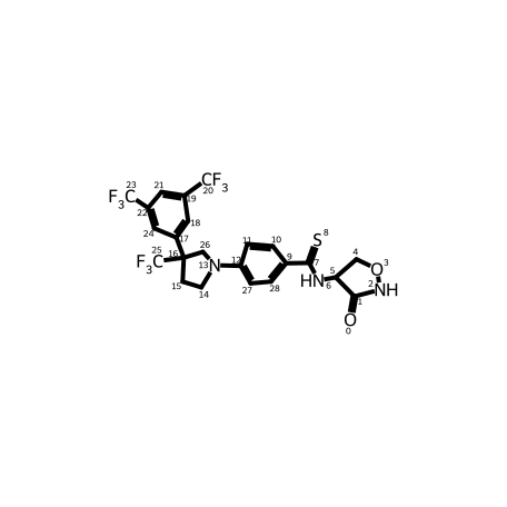 O=C1NOCC1NC(=S)c1ccc(N2CCC(c3cc(C(F)(F)F)cc(C(F)(F)F)c3)(C(F)(F)F)C2)cc1